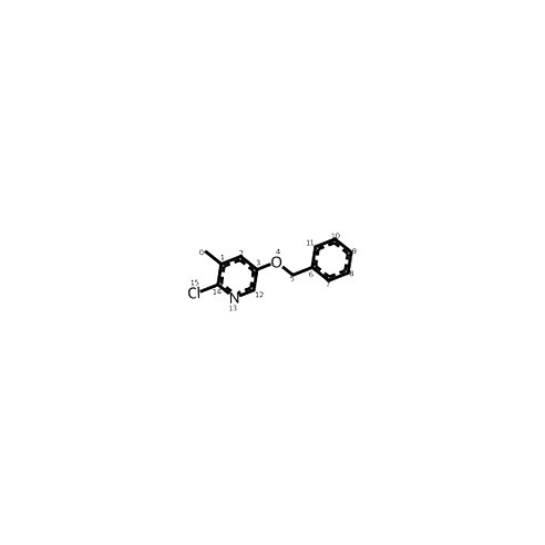 Cc1cc(OCc2ccccc2)cnc1Cl